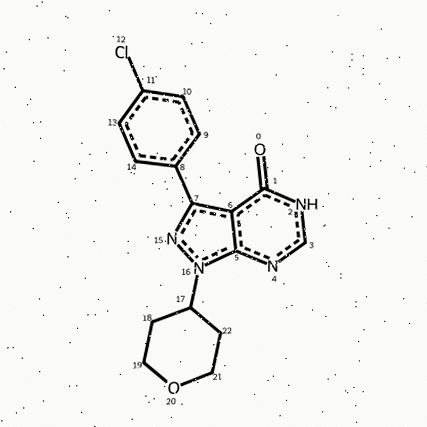 O=c1[nH]cnc2c1c(-c1ccc(Cl)cc1)nn2C1CCOCC1